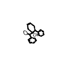 O=C(c1ccccc1)C1(O)CCCCC1c1ccccc1